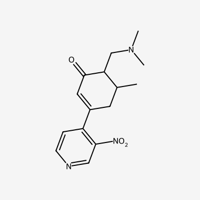 CC1CC(c2ccncc2[N+](=O)[O-])=CC(=O)C1CN(C)C